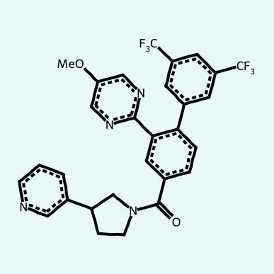 COc1cnc(-c2cc(C(=O)N3CCC(c4cccnc4)C3)ccc2-c2cc(C(F)(F)F)cc(C(F)(F)F)c2)nc1